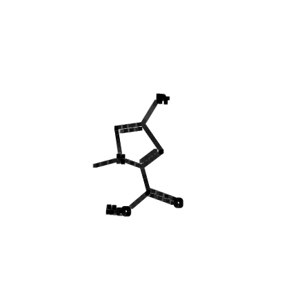 COC(=O)c1cc(C(C)C)cn1C